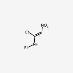 CCN/C(=C/[N+](=O)[O-])CC